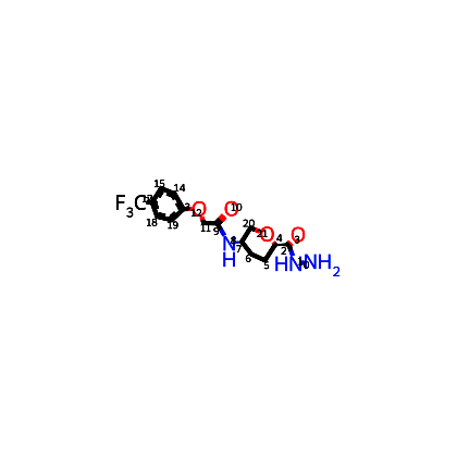 NNC(=O)[C@H]1CC[C@H](NC(=O)COc2ccc(C(F)(F)F)cc2)CO1